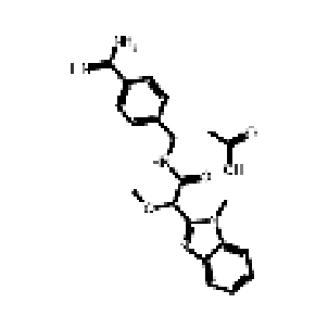 CC(=O)O.COC(C(=O)NCc1ccc(C(=N)N)cc1)c1nc2ccccc2n1C